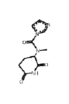 CN(C(=O)n1ccnc1)[C@H]1CCC(=O)NC1=O